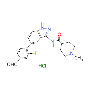 CN1CCC(C(=O)Nc2n[nH]c3ccc(-c4ccc(C=O)cc4F)cc23)CC1.Cl